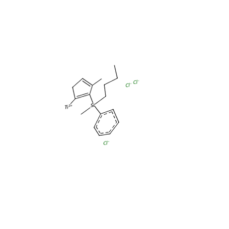 CCCC[Si](C)(C1=[C]([Ti+3])CC=C1C)c1ccccc1.[Cl-].[Cl-].[Cl-]